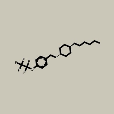 CCCCCC[C@H]1CC[C@H](CCc2ccc(OC(F)(F)C(F)(F)F)cc2)CC1